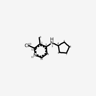 Cc1c(NC2CCCC2)ccnc1Cl